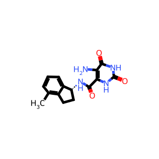 Cc1cccc2c1CC[C@H]2NC(=O)c1[nH]c(=O)[nH]c(=O)c1N